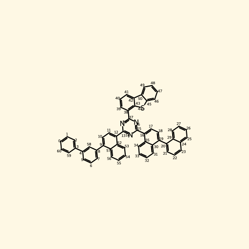 c1ccc(-c2cccc(-c3ccc(-c4nc(-c5ccc(-c6cccc7ccccc67)c6ccccc56)nc(-c5cccc6c5sc5ccccc56)n4)c4ccccc34)c2)cc1